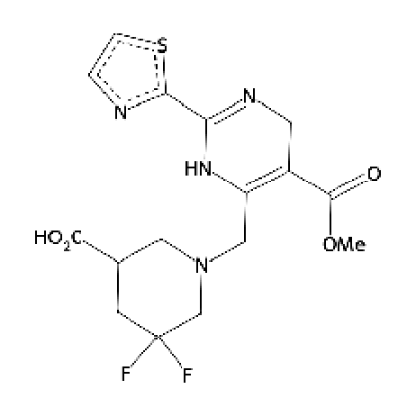 COC(=O)C1=C(CN2CC(C(=O)O)CC(F)(F)C2)NC(c2nccs2)=NC1